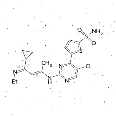 CC/N=C(\C=C(/C)Nc1ncc(Cl)c(-c2ccc(S(N)(=O)=O)s2)n1)C1CC1